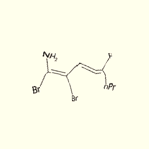 CCC/C(F)=C\C(Br)=C(/N)Br